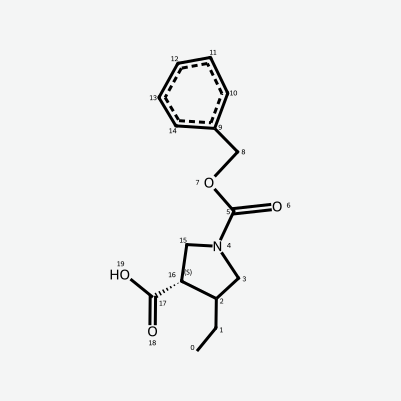 CCC1CN(C(=O)OCc2ccccc2)C[C@H]1C(=O)O